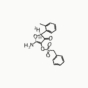 [2H][C@@]1(c2ccccc2C)OC(N)=C(OS(=O)(=O)Cc2ccccc2)C1=O